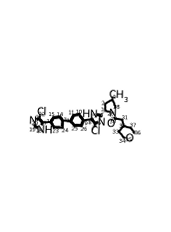 C[C@H]1C[C@@H](c2nc(Cl)c(-c3ccc(-c4ccc(-c5[nH]cnc5Cl)cc4)cc3)[nH]2)N(C(=O)CC2CCOCC2)C1